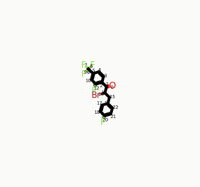 O=C(c1ccc(C(F)(F)F)cc1F)C(Br)Cc1ccc(F)cc1